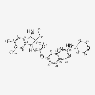 O=C(N[C@H](c1ccc(F)c(Cl)c1)[C@]1(F)CCNC1)Oc1ccc2cnc(NC3CCOCC3)nc2c1